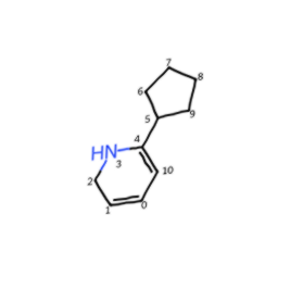 C1=CCNC(C2CCCC2)=C1